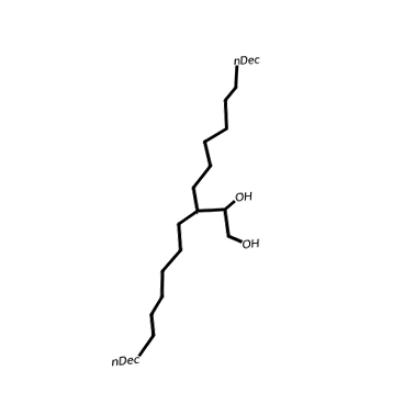 CCCCCCCCCCCCCCCC[C](CCCCCCCCCCCCCCCC)C(O)CO